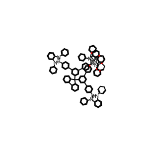 C1=CCCC(N2B(c3ccc(-c4cc(-c5ccc(B6N(C7=CCCC=C7)c7ccccc7N6c6ccccc6)cc5)cc(C5(c6cc(-c7ccc(B8N(Cc9ccccc9)c9ccccc9N8c8ccccc8)cc7)cc(-c7ccc(B8N(c9ccccc9)c9ccccc9N8c8ccccc8)cc7)c6)c6ccccc6-c6ccccc65)c4)cc3)N(c3ccccc3)c3ccccc32)=C1